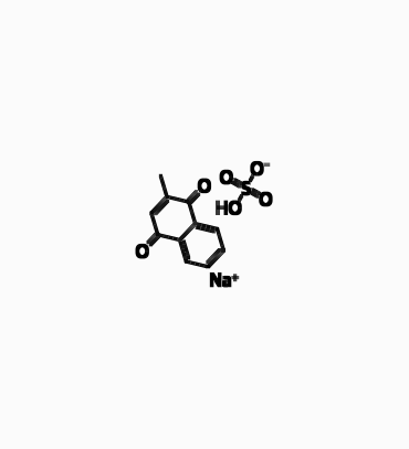 CC1=CC(=O)c2ccccc2C1=O.O=S(=O)([O-])O.[Na+]